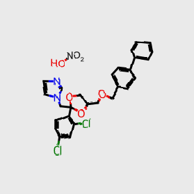 Clc1ccc(C2(Cn3ccnc3)OCC(COCc3ccc(-c4ccccc4)cc3)O2)c(Cl)c1.O=[N+]([O-])O